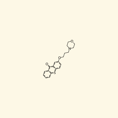 O=c1c2ccccc2sc2ccc(OCCCN3CCOCC3)cc12